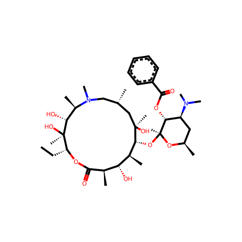 CC[C@H]1OC(=O)[C@H](C)[C@@H](O)[C@H](C)[C@@H](O[C@]2(C)O[C@H](C)C[C@H](N(C)C)[C@H]2OC(=O)c2ccccc2)[C@](C)(O)C[C@@H](C)CN(C)[C@H](C)[C@@H](O)[C@]1(C)O